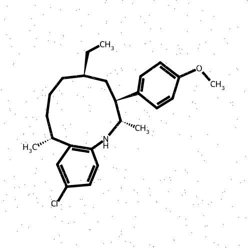 CC[C@@H]1CCC[C@@H](C)c2cc(Cl)ccc2N[C@@H](C)[C@H](c2ccc(OC)cc2)C1